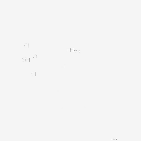 CCCCCCC1=Cc2c(-c3ccc(C(C)C)cc3)cccc2[CH]1[Zr]([Cl])([Cl])([c]1ccccc1)([CH]1C=Cc2ccccc21)[SiH](C)C